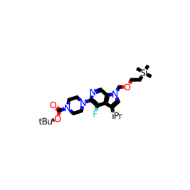 CC(C)c1cn(COCC[Si](C)(C)C)c2cnc(N3CCN(C(=O)OC(C)(C)C)CC3)c(F)c12